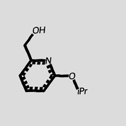 CC(C)Oc1cccc(CO)n1